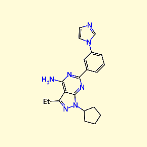 CCc1nn(C2CCCC2)c2nc(-c3cccc(-n4ccnc4)c3)nc(N)c12